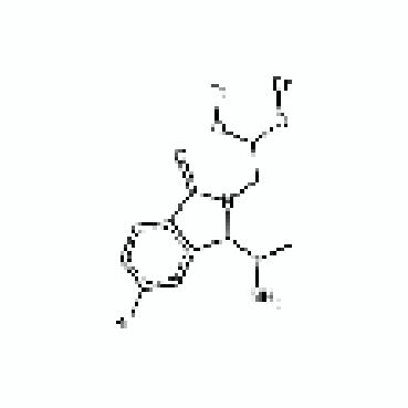 CCOC(CN1C(=O)c2ccc(Br)cc2C1C(C)N)OCC